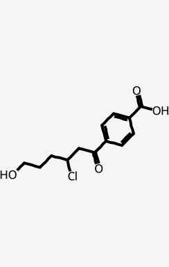 O=C(O)c1ccc(C(=O)CC(Cl)CCCO)cc1